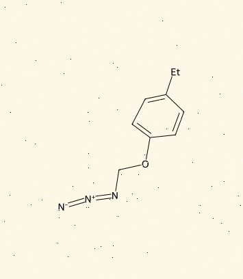 CCc1ccc(OCN=[N+]=[N-])cc1